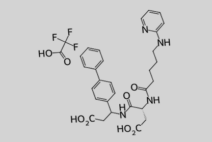 O=C(O)C(F)(F)F.O=C(O)CC(NC(=O)[C@@H](CC(=O)O)NC(=O)CCCCNc1ccccn1)c1ccc(-c2ccccc2)cc1